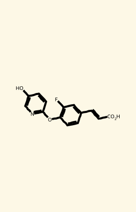 O=C(O)C=Cc1ccc(Oc2ccc(O)cn2)c(F)c1